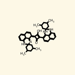 CC1CC(C)CC2(C1)N=c1/c(=C3\C(=O)C(c4ccc5cccc6c5c4NC4(CC(C)CC(C)C4)N6)=C3O)ccc3cccc(c13)N2